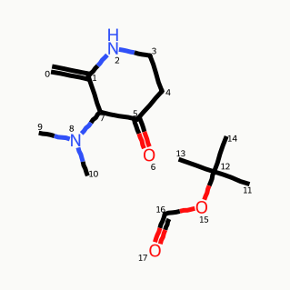 C=C1NCCC(=O)C1N(C)C.CC(C)(C)OC=O